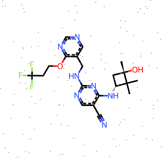 CC1(C)[C@H](Nc2nc(NCc3cncnc3OCCC(F)(F)F)ncc2C#N)C[C@]1(C)O